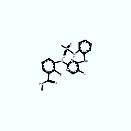 CNC(=O)c1cccc(Nc2ncc(Cl)c(Nc3ccccc3NS(C)(=O)=O)n2)c1F